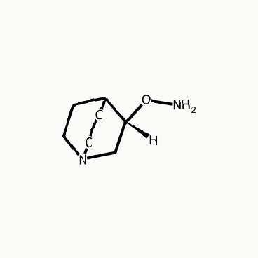 NO[C@@H]1CN2CCC1CC2